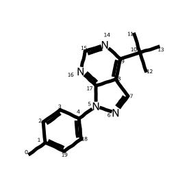 Cc1ccc(-n2ncc3c(C(C)(C)C)ncnc32)cc1